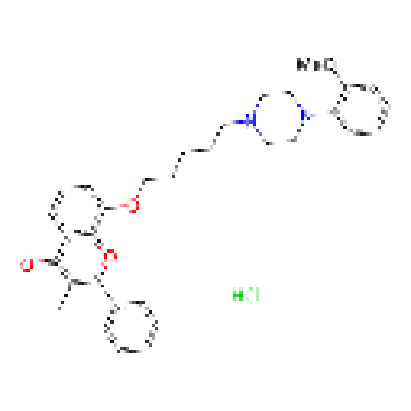 COc1ccccc1N1CCN(CCCCCOc2cccc3c(=O)c(C)c(-c4ccccc4)oc23)CC1.Cl